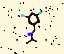 CC(C)NCc1cc(F)cc(F)c1